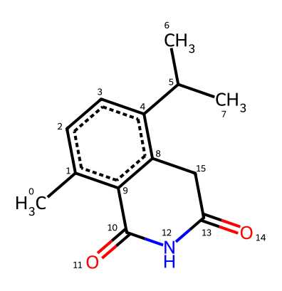 Cc1ccc(C(C)C)c2c1C(=O)NC(=O)C2